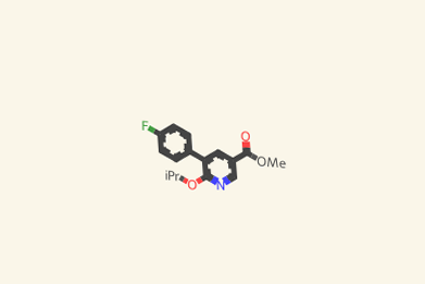 COC(=O)c1cnc(OC(C)C)c(-c2ccc(F)cc2)c1